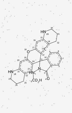 O=C(O)NN1C(=O)c2ccccc2C12c1cc3c(cc1Oc1cc4c(cc12)CCCN4)NCCC3